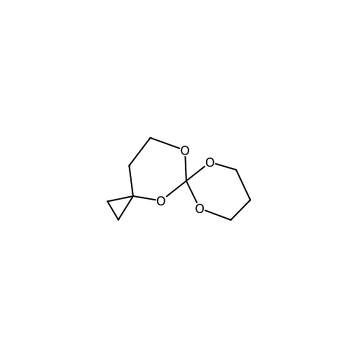 C1COC2(OC1)OCCC1(CC1)O2